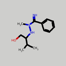 CC(C)C(CO)NN(C)C(=N)c1ccccc1